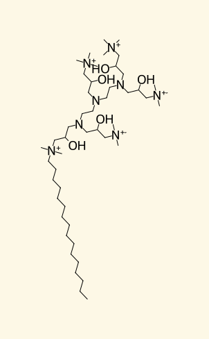 CCCCCCCCCCCCCCCC[N+](C)(C)CC(O)CN(CCN(CCN(CC(O)C[N+](C)(C)C)CC(O)C[N+](C)(C)C)CC(O)C[N+](C)(C)C)CC(O)C[N+](C)(C)C